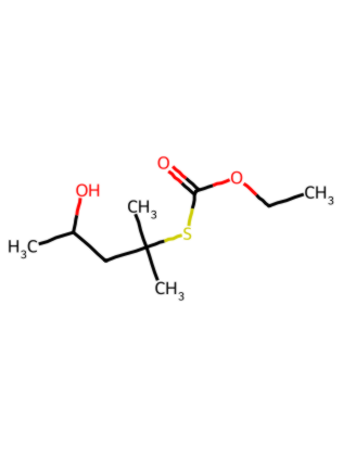 CCOC(=O)SC(C)(C)CC(C)O